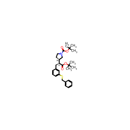 CC(C)(C)OC(=O)[C@@H](Cc1cccc(SCc2ccccc2)c1)[C@H]1CCN(C(=O)OC(C)(C)C)C1